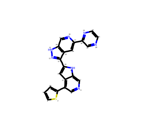 c1csc(-c2cncc3[nH]c(-c4n[nH]c5cnc(-c6cnccn6)cc45)cc23)c1